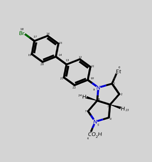 CCC1C[C@@H]2CN(C(=O)O)C[C@@H]2N1c1ccc(-c2ccc(Br)cc2)cc1